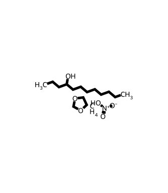 C.C1COCO1.CCCCCCCCC(O)CCC.O=[N+]([O-])O